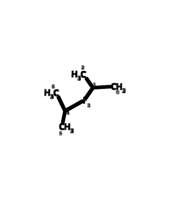 CC(C)[I]C(C)C